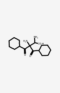 NC(C(=O)O)C(N)(C(=O)C1CCCCC1)C(=O)C1CCCCC1